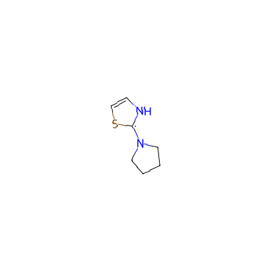 C1=CS[C](N2CCCC2)N1